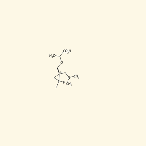 CC(OC[C@]1(CN(C)C)CC1(F)F)C(=O)O